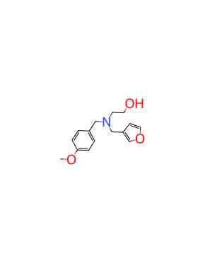 COc1ccc(CN(CCO)Cc2ccoc2)cc1